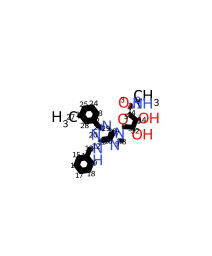 CNC(=O)[C@H]1O[C@@H](n2cnc3c(NCc4ccccc4)nc(-c4cccc(C)c4)nc32)[C@H](O)[C@@H]1O